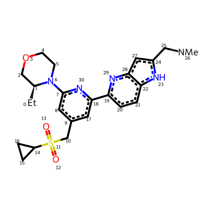 CC[C@H]1COCCN1c1cc(CS(=O)(=O)C2CC2)cc(-c2ccc3[nH]c(CNC)cc3n2)n1